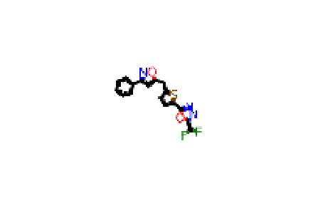 FC(F)c1nnc(-c2ccc(Cc3cc(-c4ccccc4)no3)s2)o1